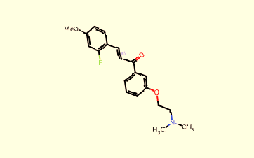 COc1ccc(/C=C/C(=O)c2cccc(OCCN(C)C)c2)c(F)c1